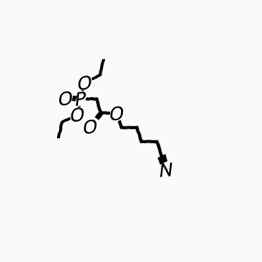 CCOP(=O)(CC(=O)OCCCCC#N)OCC